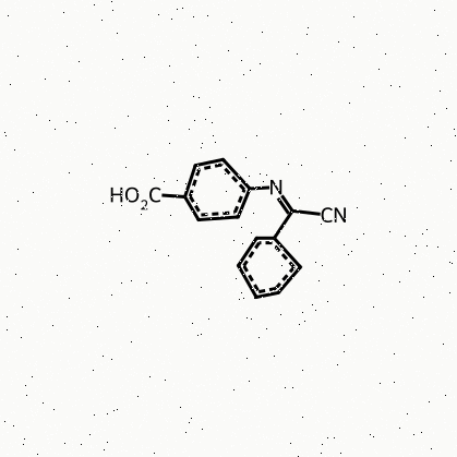 N#CC(=Nc1ccc(C(=O)O)cc1)c1ccccc1